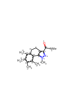 CNC(=O)c1nn(C)c2c1CCc1c(C)c(C)c(C)c(C)c1-2